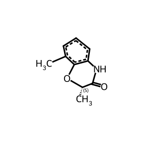 Cc1cccc2c1O[C@@H](C)C(=O)N2